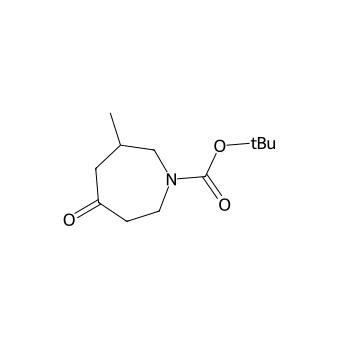 CC1CC(=O)CCN(C(=O)OC(C)(C)C)C1